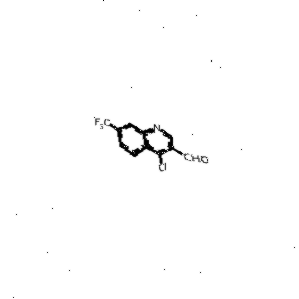 O=Cc1cnc2cc(C(F)(F)F)ccc2c1Cl